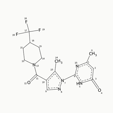 Cc1cc(=O)[nH]c(-n2ncc(C(=O)N3CCC(C(F)(F)F)CC3)c2C)n1